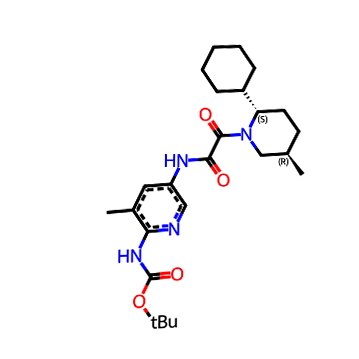 Cc1cc(NC(=O)C(=O)N2C[C@H](C)CC[C@H]2C2CCCCC2)cnc1NC(=O)OC(C)(C)C